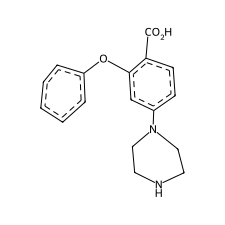 O=C(O)c1ccc(N2CCNCC2)cc1Oc1ccccc1